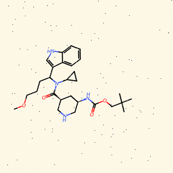 COCCCC(c1c[nH]c2ccccc12)N(C(=O)[C@@H]1CNC[C@H](NC(=O)OCC(C)(C)C)C1)C1CC1